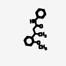 COc1ccccc1C(C)CC(=O)Nc1ccccc1